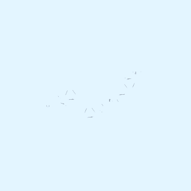 CCOC(=O)Cn1c(OC)nc2c(OCc3c(Cl)ccc(N(C)C(=O)CNC(=O)C=Cc4ccc(NC(C)=O)nc4)c3Cl)cccc21